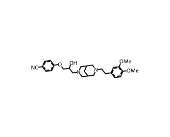 COc1ccc(CCN2CC3CC(C2)CN(CC(O)COc2ccc(C#N)cc2)C3)cc1OC